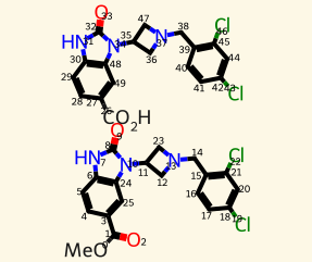 COC(=O)c1ccc2[nH]c(=O)n(C3CN(Cc4ccc(Cl)cc4Cl)C3)c2c1.O=C(O)c1ccc2[nH]c(=O)n(C3CN(Cc4ccc(Cl)cc4Cl)C3)c2c1